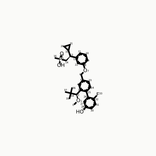 CO[C@H](c1cc(COc2cccc([C@@H](CP(C)(=O)O)C3CC3)c2)ccc1-c1cc(O)ccc1F)C(C)(C)C